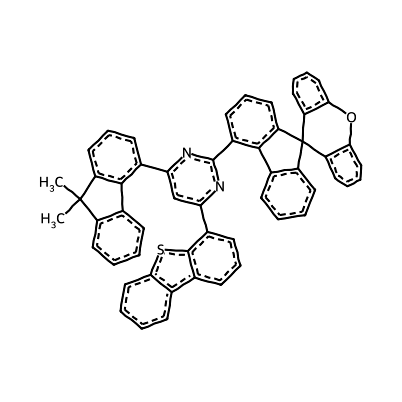 CC1(C)c2ccccc2-c2c(-c3cc(-c4cccc5c4sc4ccccc45)nc(-c4cccc5c4-c4ccccc4C54c5ccccc5Oc5ccccc54)n3)cccc21